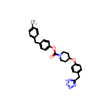 O=C(Oc1ccc(Cc2ccc(C(F)(F)F)cc2)cc1)N1CCC(Oc2ccc(Cc3nnn[nH]3)cc2)CC1